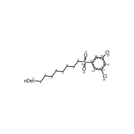 CCCCCCCCCCCCCCCCCCS(=O)(=O)c1cc(Cl)[c]c(Cl)c1